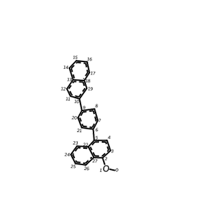 COc1ccc(-c2ccc(-c3ccc4ccccc4c3)cc2)c2ccccc12